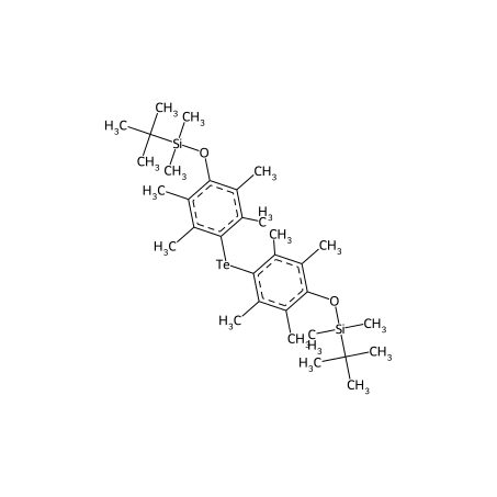 Cc1c(C)c([Te]c2c(C)c(C)c(O[Si](C)(C)C(C)(C)C)c(C)c2C)c(C)c(C)c1O[Si](C)(C)C(C)(C)C